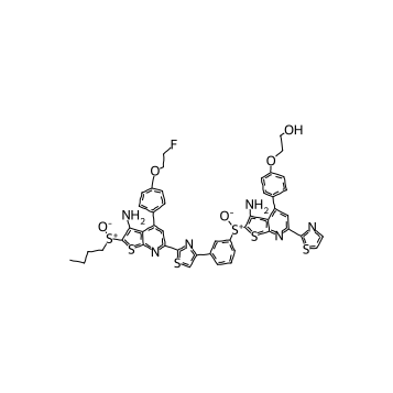 CCCC[S+]([O-])c1sc2nc(-c3nc(-c4cccc([S+]([O-])c5sc6nc(-c7nccs7)cc(-c7ccc(OCCO)cc7)c6c5N)c4)cs3)cc(-c3ccc(OCCF)cc3)c2c1N